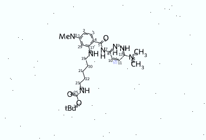 CNc1ccc(C(=O)NC(=N)/C=C\C(=N)N(C)C)c(NCCCCCNC(=O)OC(C)(C)C)c1